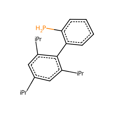 CC(C)c1cc(C(C)C)c(-c2ccccc2P)c(C(C)C)c1